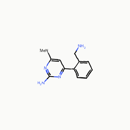 CNc1cc(-c2ccccc2CN)nc(N)n1